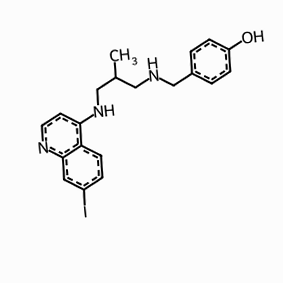 CC(CNCc1ccc(O)cc1)CNc1ccnc2cc(I)ccc12